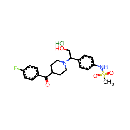 CS(=O)(=O)Nc1ccc(C(CO)N2CCC(C(=O)c3ccc(F)cc3)CC2)cc1.Cl